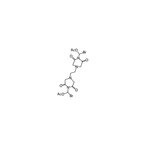 CC(=O)OC(Br)N1C(=O)CN(CCN2CC(=O)N(C(Br)OC(C)=O)C(=O)C2)CC1=O